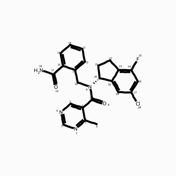 Cc1ncncc1C(=O)N(Cc1ccccc1C(N)=O)[C@@H]1CCc2c(F)cc(Cl)cc21